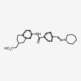 O=C(O)CC1CCc2ccc(NC(=O)c3ccc(C=NN4CCCCCC4)cc3)cc2C1